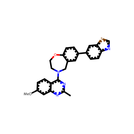 COc1ccc2c(N3CCOc4ccc(-c5ccc6ncsc6c5)cc4C3)nc(C)nc2c1